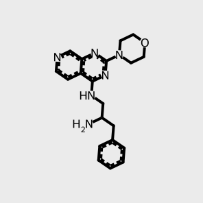 NC(CNc1nc(N2CCOCC2)nc2cnccc12)Cc1ccccc1